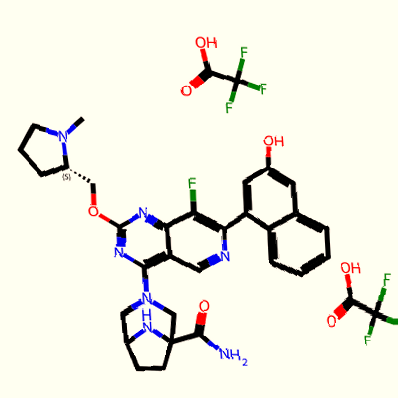 CN1CCC[C@H]1COc1nc(N2CC3CCC(C(N)=O)(C2)N3)c2cnc(-c3cc(O)cc4ccccc34)c(F)c2n1.O=C(O)C(F)(F)F.O=C(O)C(F)(F)F